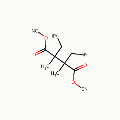 CC(C)CC(C)(C(=O)OC#N)C(C)(CC(C)C)C(=O)OC#N